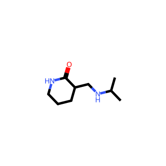 CC(C)NCC1CCCNC1=O